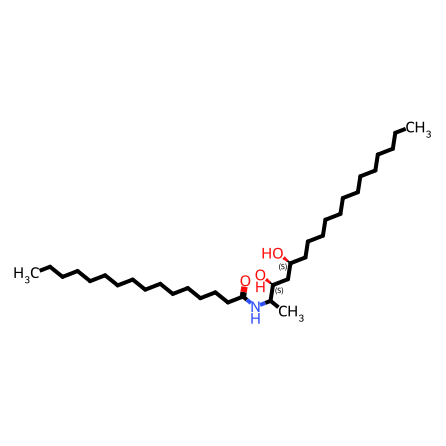 CCCCCCCCCCCCCCCC(=O)NC(C)[C@@H](O)C[C@@H](O)CCCCCCCCCCCCC